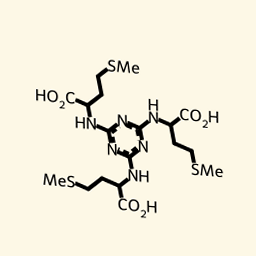 CSCCC(Nc1nc(NC(CCSC)C(=O)O)nc(NC(CCSC)C(=O)O)n1)C(=O)O